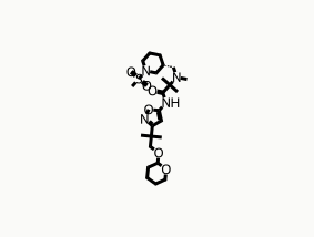 CN(C[C@H]1CCCN(S(C)(=O)=O)C1)C(C)(C)C(=O)Nc1cc(C(C)(C)COC2CCCCO2)no1